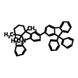 CC1(C)CCCC2(C)c3cc(-c4ccc5c(c4)C(c4ccccc4)(c4ccccc4)c4ccccc4-5)ccc3N(c3ccccc3)C12C